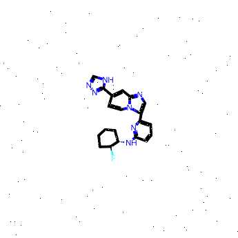 F[C@H]1CCCC[C@@H]1Nc1cccc(-c2cnc3cc(-c4nnc[nH]4)ccn23)n1